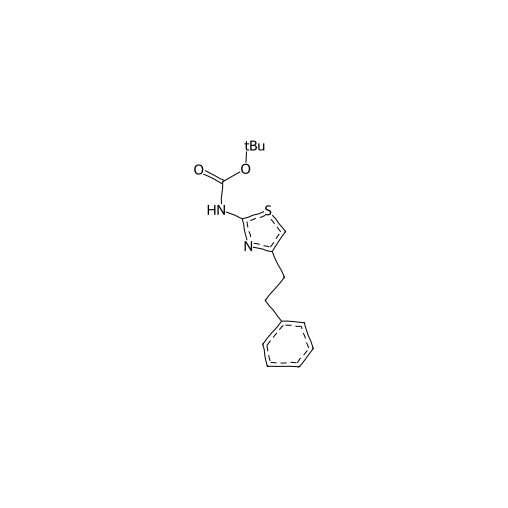 CC(C)(C)OC(=O)Nc1nc(CCc2ccccc2)cs1